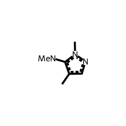 CNc1c(C)cnn1C